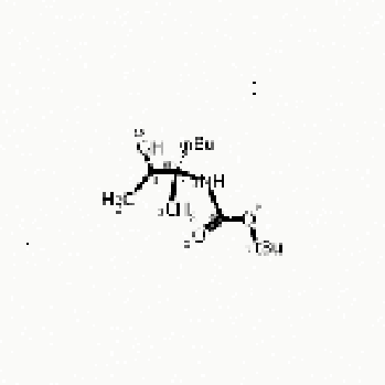 CCCC[C@@](C)(NC(=O)OC(C)(C)C)C(C)O